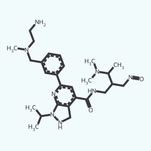 CC(C(CN=O)CNC(=O)c1cc(-c2cccc(CN(C)CCN)c2)nc2c1CNN2C(C)C)N(C)C